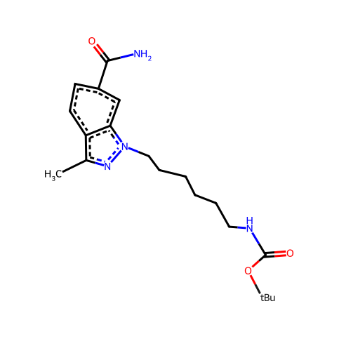 Cc1nn(CCCCCCNC(=O)OC(C)(C)C)c2cc(C(N)=O)ccc12